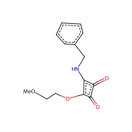 COCCOc1c(NCc2ccccc2)c(=O)c1=O